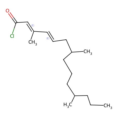 CCCC(C)CCCC(C)C/C=C/C(C)=C/C(=O)Cl